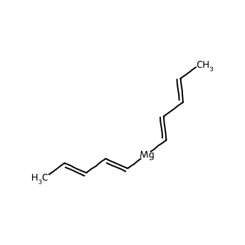 CC=CC=[CH][Mg][CH]=CC=CC